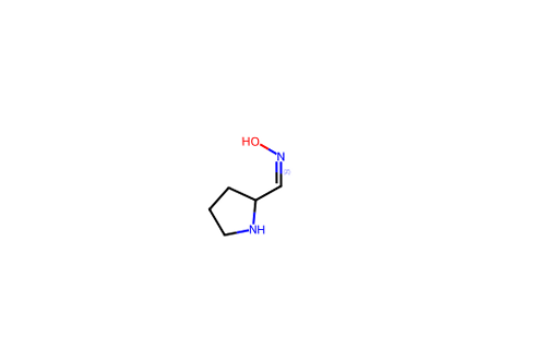 O/N=C\C1CCCN1